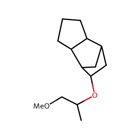 COCC(C)OC1CC2CC1C1CCCC21